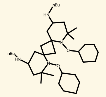 CCCCNC1CC(C)(C)N(OC2CCCCC2)C2(C1)CC1(CC(NCCCC)CC(C)(C)N1OC1CCCCC1)C2